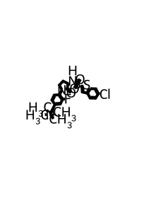 CN(C)C(C)(C)c1ccc(N2CCC(NS(=O)(=O)c3cc4ccc(Cl)cc4s3)C2=O)c(F)c1